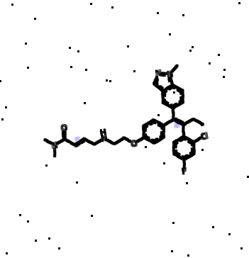 CC/C(=C(/c1ccc(OCCNC/C=C/C(=O)N(C)C)cc1)c1ccc2c(cnn2C)c1)c1ccc(F)cc1Cl